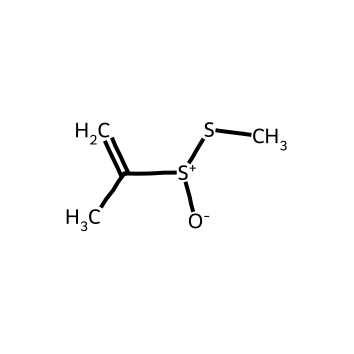 C=C(C)[S+]([O-])SC